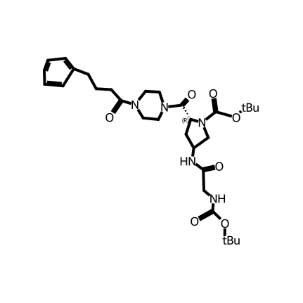 CC(C)(C)OC(=O)NCC(=O)NC1C[C@H](C(=O)N2CCN(C(=O)CCCc3ccccc3)CC2)N(C(=O)OC(C)(C)C)C1